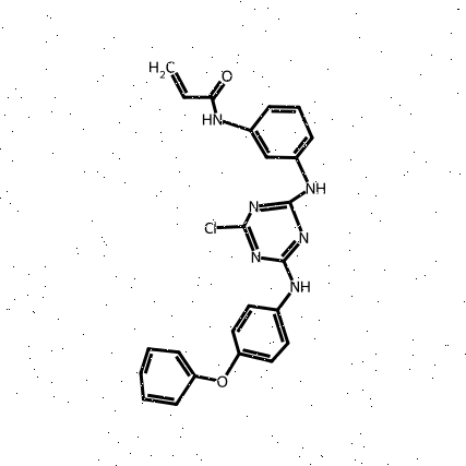 C=CC(=O)Nc1cccc(Nc2nc(Cl)nc(Nc3ccc(Oc4ccccc4)cc3)n2)c1